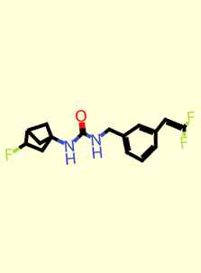 O=C(NCc1cccc(C=C(F)F)c1)NC12CC(F)C(C1)C2